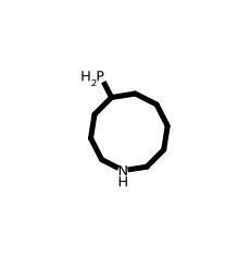 PC1CCCCCNCCC1